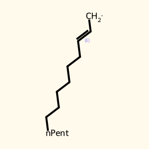 [CH2]/C=C/CCCCCCCCCCC